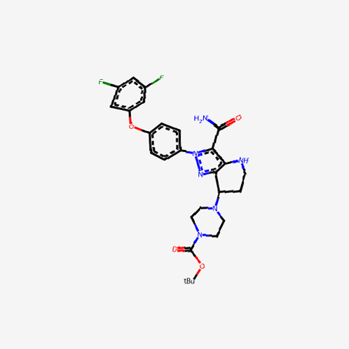 CC(C)(C)OC(=O)N1CCN(C2CCNc3c2nn(-c2ccc(Oc4cc(F)cc(F)c4)cc2)c3C(N)=O)CC1